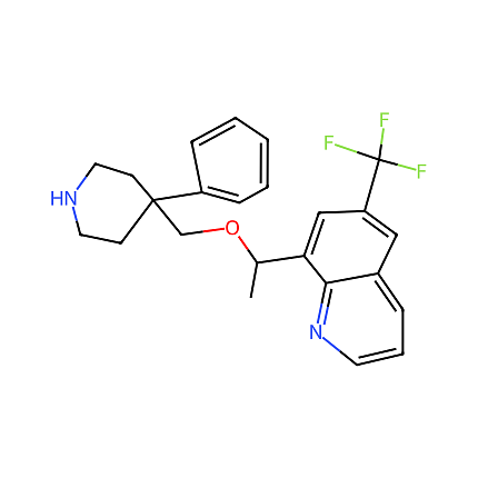 CC(OCC1(c2ccccc2)CCNCC1)c1cc(C(F)(F)F)cc2cccnc12